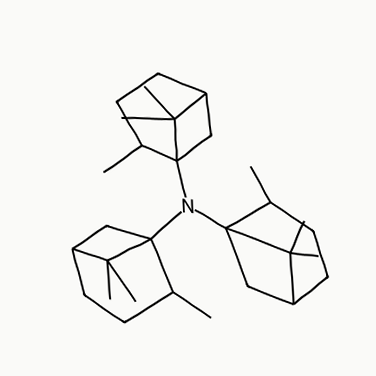 CC1CCC2CC1(N(C13CC(CCC1C)C3(C)C)C13CC(CCC1C)C3(C)C)C2(C)C